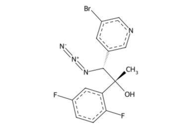 C[C@@](O)(c1cc(F)ccc1F)[C@H](N=[N+]=[N-])c1cncc(Br)c1